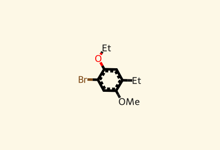 CCOc1cc(CC)c(OC)cc1Br